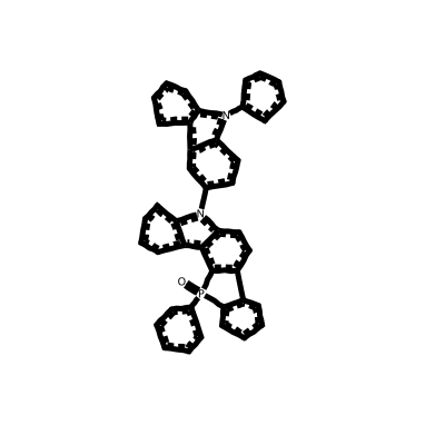 O=P1(c2ccccc2)c2ccccc2-c2ccc3c(c21)c1ccccc1n3-c1ccc2c(c1)c1ccccc1n2-c1ccccc1